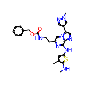 CNc1sc(Nc2nc(CCNC(=O)OCc3ccccc3)cn3c(-c4cnn(C)c4)cnc23)cc1C